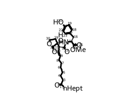 CCCCCCCC(=O)CCCCCC/C=C/[C@H](C(=O)N[C@@H](Cc1ccc(O)cc1)C(=O)OC)[C@@]1(O)CCOC1=O